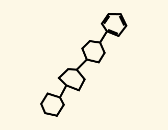 c1ccc(C2CCC(C3CCC(C4CCCCC4)CC3)CC2)cc1